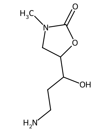 CN1CC(C(O)CCN)OC1=O